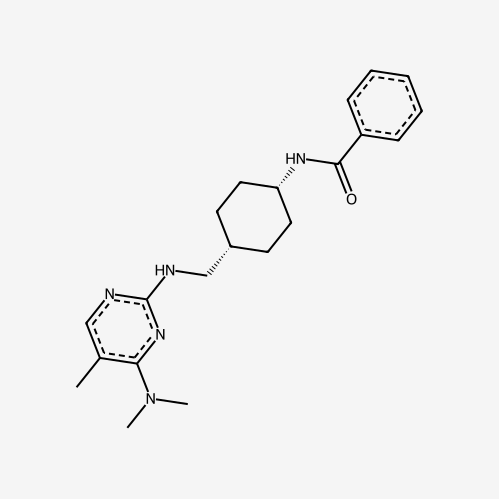 Cc1cnc(NC[C@H]2CC[C@@H](NC(=O)c3ccccc3)CC2)nc1N(C)C